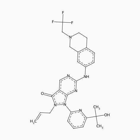 C=CCn1c(=O)c2cnc(Nc3ccc4c(c3)CN(CC(F)(F)F)CC4)nc2n1-c1cccc(C(C)(C)O)n1